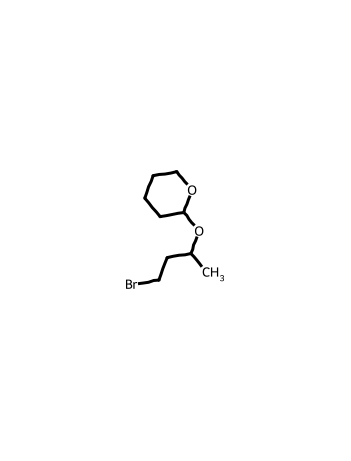 CC(CCBr)OC1CCCCO1